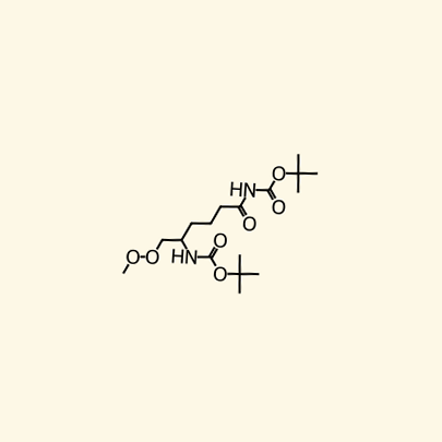 COOCC(CCCC(=O)NC(=O)OC(C)(C)C)NC(=O)OC(C)(C)C